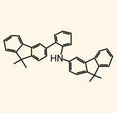 CC1(C)c2ccccc2-c2cc(Nc3ccccc3-c3ccc4c(c3)-c3ccccc3C4(C)C)ccc21